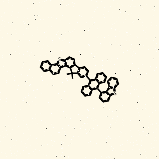 CC1(C)c2cc(-c3c4ccccc4c(-c4cccc5sc6ccccc6c45)c4ccccc34)ccc2-c2ccc3sc4c5ccccc5ccc4c3c21